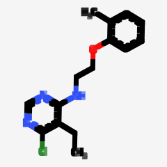 CCc1c(Cl)ncnc1NCCOc1ccccc1C